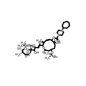 CC[C@H](O[Si](C)(C)C(C)(C)C)[C@@H](C)[C@H]1O[C@@H]1CC(C)(O)C(O)C(O)/C=C(\C)C1OC(=O)CC(O[Si](C)(C)C(C)(C)C)CCC(C)(O)C(OC(=O)N2CCN(C3CCCCCC3)CC2)C=CC1C